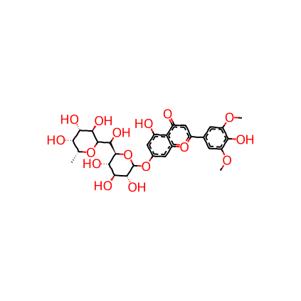 COc1cc(-c2cc(=O)c3c(O)cc(OC4O[C@H](C(O)C5O[C@H](C)[C@H](O)[C@H](O)[C@H]5O)[C@@H](O)[C@H](O)[C@H]4O)cc3o2)cc(OC)c1O